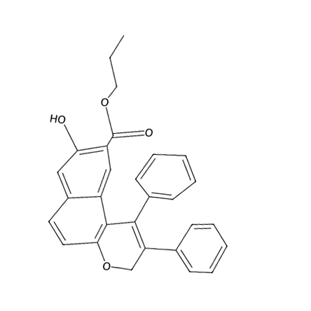 CCCOC(=O)c1cc2c3c(ccc2cc1O)OCC(c1ccccc1)=C3c1ccccc1